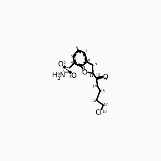 NS(=O)(=O)c1cccc2c1OC(C(=O)CCCCCl)C2